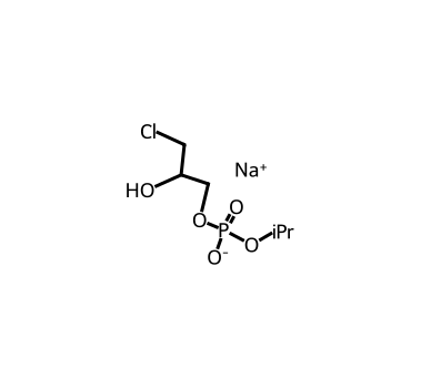 CC(C)OP(=O)([O-])OCC(O)CCl.[Na+]